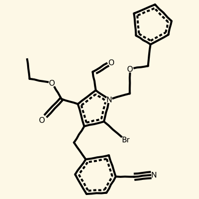 CCOC(=O)c1c(Cc2cccc(C#N)c2)c(Br)n(COCc2ccccc2)c1C=O